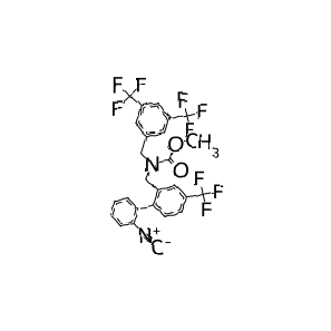 [C-]#[N+]c1ccccc1-c1ccc(C(F)(F)F)cc1CN(Cc1cc(C(F)(F)F)cc(C(F)(F)F)c1)C(=O)OC